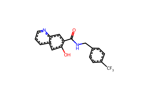 O=C(NCc1ccc(C(F)(F)F)cc1)c1cc2ncccc2cc1O